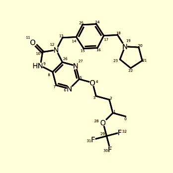 CC(CCOc1ncc2[nH]c(=O)n(Cc3ccc(CN4CCCC4)cc3)c2n1)OC(F)(F)F